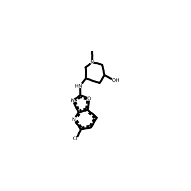 CN1CC(O)CC(Nc2nc3nc(Cl)ccc3o2)C1